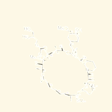 CO[C@H]1CC2CC[C@@H](C)[C@@](O)(O2)C(=O)C(=O)N2CCCCC2C(=O)O[C@H]([C@H](C)C[C@@H]2CC[C@@H](O)[C@H](OC)C2)CC(=O)[C@H](C)/C=C(\C)[C@@H](OC(=O)OCC(O)CO)[C@@H](OC)C(=O)[C@H](C)C[C@H](C)/C=C/C=C/C=C/1C